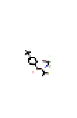 CC1=C(C(=O)c2ccc(C(C)(C)C)cc2)N2C(=O)[C@H](Cl)[C@H]2SC1